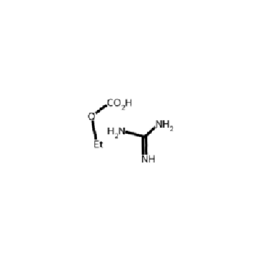 CCOC(=O)O.N=C(N)N